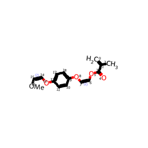 C=C(C)C(=O)O/C=C\Oc1ccc(O/C=C\OC)cc1